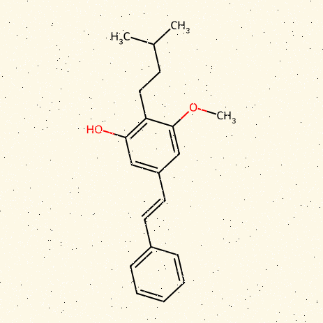 COc1cc(/C=C/c2ccccc2)cc(O)c1CCC(C)C